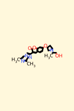 Cc1cn2cc(-c3cc4ccc(O[C@@H]5CCN(C(C)CO)C5)cc4oc3=O)nc2c(C)n1